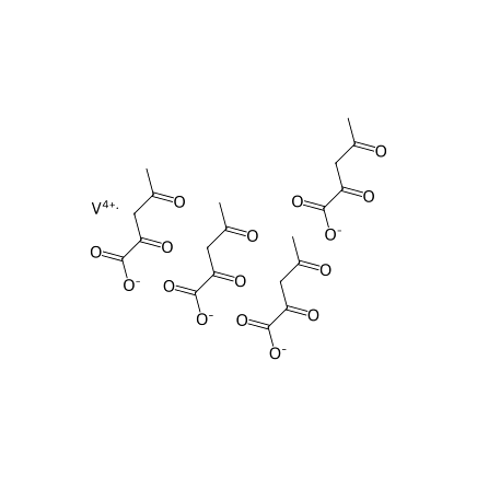 CC(=O)CC(=O)C(=O)[O-].CC(=O)CC(=O)C(=O)[O-].CC(=O)CC(=O)C(=O)[O-].CC(=O)CC(=O)C(=O)[O-].[V+4]